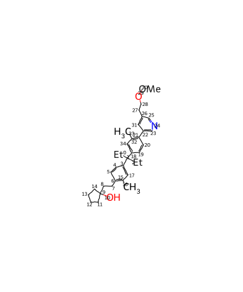 CCC(CC)(c1ccc(CCC2(O)CCCC2)c(C)c1)c1ccc(-c2cncc(CCOOC)c2)c(C)c1